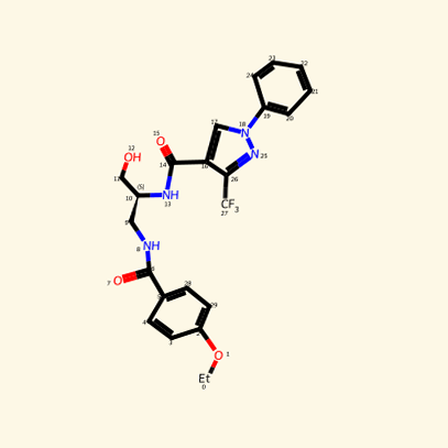 CCOc1ccc(C(=O)NC[C@@H](CO)NC(=O)c2cn(-c3ccccc3)nc2C(F)(F)F)cc1